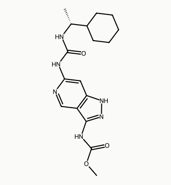 COC(=O)Nc1n[nH]c2cc(NC(=O)N[C@H](C)C3CCCCC3)ncc12